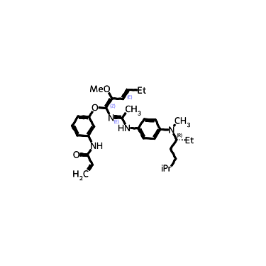 C=CC(=O)Nc1cccc(OC(/N=C(\C)Nc2ccc(N(C)[C@H](CC)CCC(C)C)cc2)=C(/C=C/CC)OC)c1